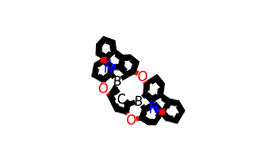 c1cc2c3c(c1)-n1c4ccccc4c4ccc5c(c41)B3c1cc3c(cc1O2)Oc1cccc2c1B3c1c(ccc3c4ccccc4n-2c13)O5